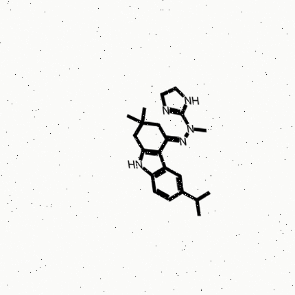 CC(C)c1ccc2[nH]c3c(c2c1)C(=NN(C)C1=NCCN1)CC(C)(C)C3